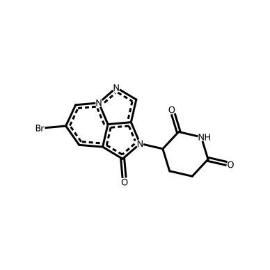 O=C1CCC(n2c(=O)c3cc(Br)cn4ncc2c34)C(=O)N1